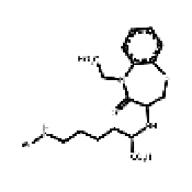 CC(C)NCCCC[C@@H](NC1CSc2ccccc2N(CC(=O)O)C1=O)C(=O)O